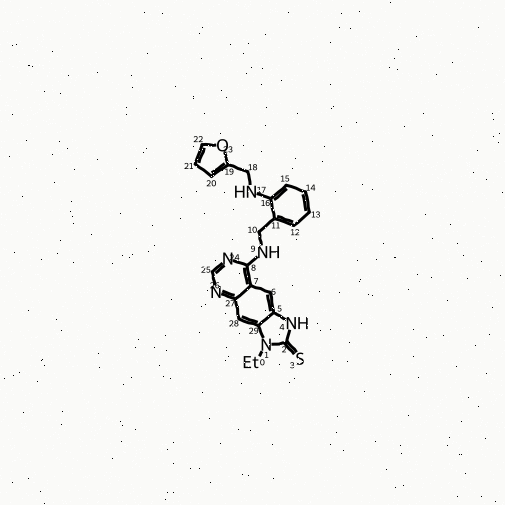 CCn1c(=S)[nH]c2cc3c(NCc4ccccc4NCc4ccco4)ncnc3cc21